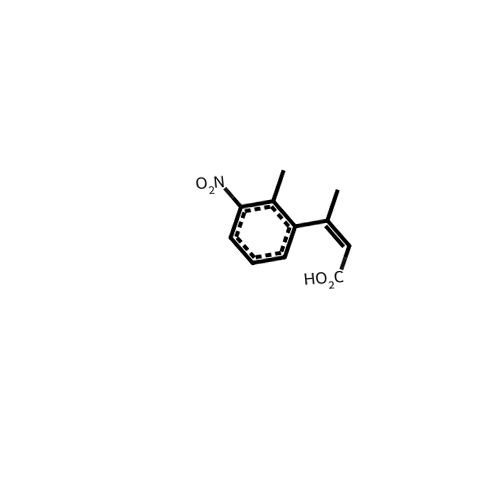 C/C(=C/C(=O)O)c1cccc([N+](=O)[O-])c1C